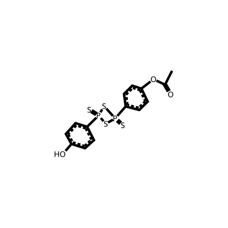 CC(=O)Oc1ccc(P2(=S)SP(=S)(c3ccc(O)cc3)S2)cc1